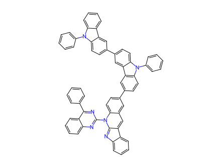 c1ccc(-c2nc(-n3c4nc5ccccc5c-4cc4cc(-c5ccc6c(c5)c5cc(-c7ccc8c(c7)c7ccccc7n8-c7ccccc7)ccc5n6-c5ccccc5)ccc43)nc3ccccc23)cc1